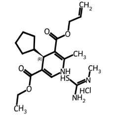 C=CCOC(=O)C1=C(C)NC=C(C(=O)OCC)[C@H]1C1CCCC1.CN=C(N)S.Cl